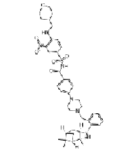 C[C@H]1[C@H]2C[C@H](C[C@H]1Nc1ccccc1CN1CCN(c3ccc(C(=O)NS(=O)(=O)c4ccc(NCC5CCOCC5)c([N+](=O)[O-])c4)cc3)CC1)C2(C)C